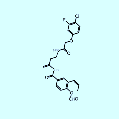 C=C(CCNC(=O)COc1ccc(Cl)c(F)c1)NC(=O)c1ccc(OC=O)c(/C=C\C)c1